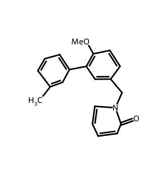 COc1ccc(Cn2ccccc2=O)cc1-c1cccc(C)c1